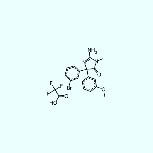 COc1cccc(C2(c3cccc(Br)c3)N=C(N)N(C)C2=O)c1.O=C(O)C(F)(F)F